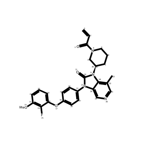 C=CC(=O)N1CCC[C@@H](n2c(=O)n(-c3ccc(Oc4cccc(OC)c4F)cc3)c3cncc(C)c32)C1